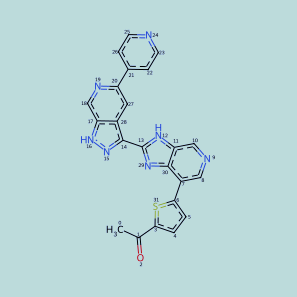 CC(=O)c1ccc(-c2cncc3[nH]c(-c4n[nH]c5cnc(-c6ccncc6)cc45)nc23)s1